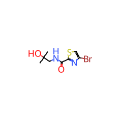 CC(C)(O)CNC(=O)c1nc(Br)cs1